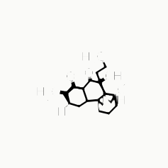 C=C1C(=O)C23CC[C@@H](CC2[C@@]24CCC[C@@](C)(CN(CCC)C2)C14)C(=C)C3=O